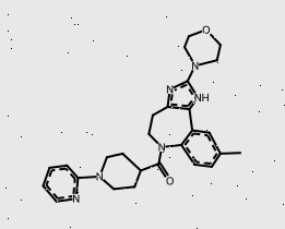 Cc1ccc2c(c1)-c1[nH]c(N3CCOCC3)nc1CCN2C(=O)C1CCN(c2ccccn2)CC1